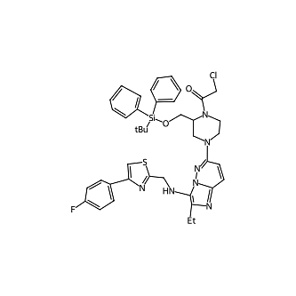 CCc1nc2ccc(N3CCN(C(=O)CCl)C(CO[Si](c4ccccc4)(c4ccccc4)C(C)(C)C)C3)nn2c1NCc1nc(-c2ccc(F)cc2)cs1